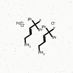 CC(C)C(F)(C=CCP)C(C)C.CC(C)C(F)(C=CCP)C(C)C.[Cl-].[Cl-].[Pd+2]